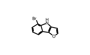 Brc1cccc2c1[nH]c1ccoc12